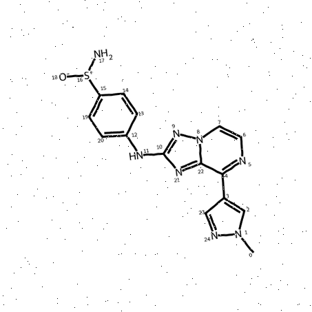 Cn1cc(-c2nccn3nc(Nc4ccc([S+](N)[O-])cc4)nc23)cn1